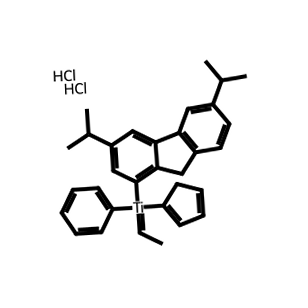 C[CH]=[Ti]([C]1=CC=CC1)([c]1ccccc1)[c]1cc(C(C)C)cc2c1Cc1ccc(C(C)C)cc1-2.Cl.Cl